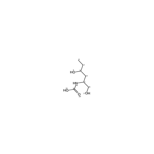 CCC(O)CC(CO)NC(=O)O